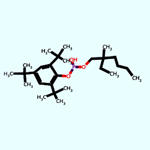 CCCCC(C)(CC)COP(O)Oc1c(C(C)(C)C)cc(C(C)(C)C)cc1C(C)(C)C